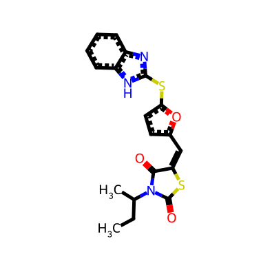 CCC(C)N1C(=O)SC(=Cc2ccc(Sc3nc4ccccc4[nH]3)o2)C1=O